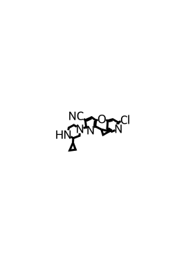 N#Cc1cc(Oc2ccnc(Cl)c2)c(C2CC2)nc1N1CCNC(C2CC2)C1